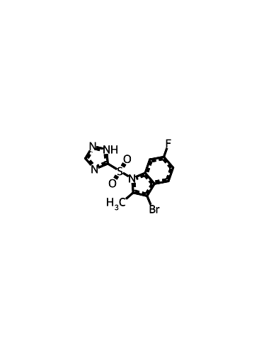 Cc1c(Br)c2ccc(F)cc2n1S(=O)(=O)c1ncn[nH]1